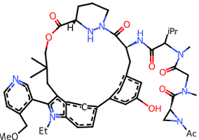 CCn1c(-c2cnccc2COC)c2c3cc(ccc31)-c1cc(O)cc(c1)C[C@H](NC(=O)C(C(C)C)N(C)C(=O)CN(C)C(=O)[C@@H]1CN1C(C)=O)C(=O)N1CCC[C@H](N1)C(=O)OCC(C)(C)C2